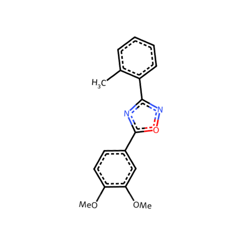 COc1ccc(-c2nc(-c3ccccc3C)no2)cc1OC